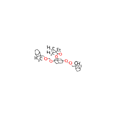 CCC(C)(C)C(=O)OC12CC3CC(OCOCC4(C)CC5CCC4C5)(CC(OCOCC4(C)CC5CCC4C5)(C3)C1)C2